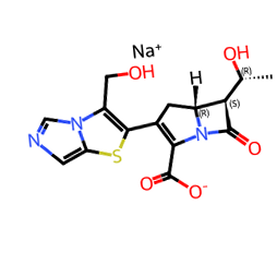 C[C@@H](O)[C@H]1C(=O)N2C(C(=O)[O-])=C(c3sc4cncn4c3CO)C[C@H]12.[Na+]